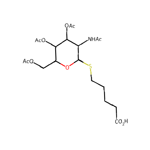 CC(=O)NC1C(SCCCCC(=O)O)OC(COC(C)=O)C(OC(C)=O)C1OC(C)=O